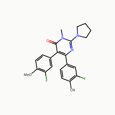 COc1ccc(-c2c(-c3ccc(C#N)c(F)c3)nc(N3CCCC3)n(C)c2=O)cc1F